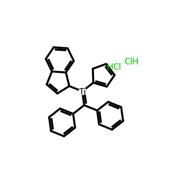 C1=CC[C]([Ti](=[C](c2ccccc2)c2ccccc2)[CH]2C=Cc3ccccc32)=C1.Cl.Cl